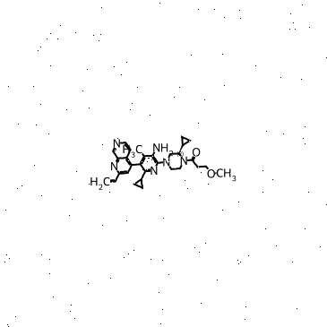 C=Cc1cc(-c2c(C3CC3)nc(N3CCN(C(=O)CCOC)[C@H](C4CC4)C3)c(N)c2C)c2ccncc2n1